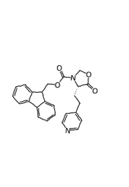 O=C1OCN(C(=O)OCC2c3ccccc3-c3ccccc32)[C@H]1CCc1ccncc1